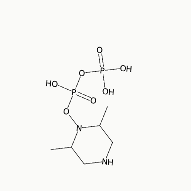 CC1CNCC(C)N1OP(=O)(O)OP(=O)(O)O